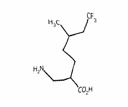 CC(CCC(CN)C(=O)O)CC(F)(F)F